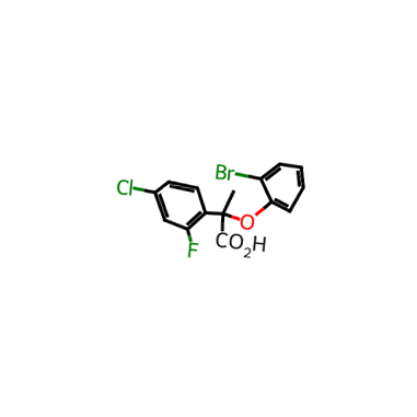 CC(Oc1ccccc1Br)(C(=O)O)c1ccc(Cl)cc1F